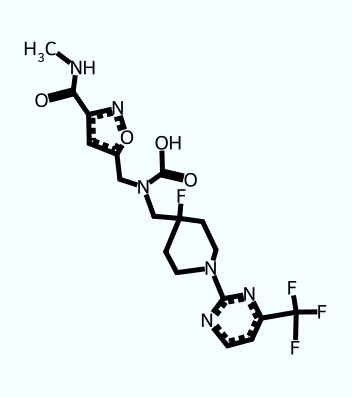 CNC(=O)c1cc(CN(CC2(F)CCN(c3nccc(C(F)(F)F)n3)CC2)C(=O)O)on1